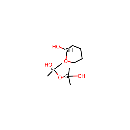 C[Si](C)(O)O[Si](C)(C)O.O[SiH]1CCCCO1